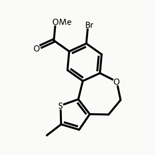 COC(=O)c1cc2c(cc1Br)OCCc1cc(C)sc1-2